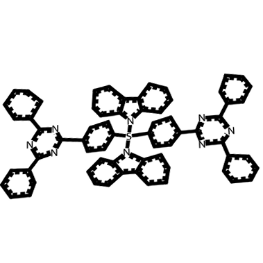 c1ccc(-c2nc(-c3ccccc3)nc(-c3ccc(S(c4ccc(-c5nc(-c6ccccc6)nc(-c6ccccc6)n5)cc4)(n4c5ccccc5c5ccccc54)n4c5ccccc5c5ccccc54)cc3)n2)cc1